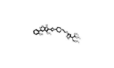 CC[C@@H](c1cc(OCCN2CCC(N3CC(c4[nH]c5nnc(-c6ccccc6O)cc5c4C)C3)CC2)no1)C(C)C